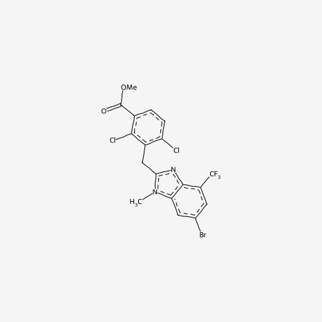 COC(=O)c1ccc(Cl)c(Cc2nc3c(C(F)(F)F)cc(Br)cc3n2C)c1Cl